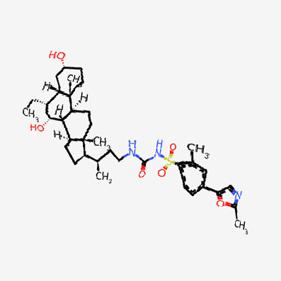 CC[C@H]1[C@@H](O)[C@@H]2[C@H](CC[C@]3(C)[C@@H]([C@H](C)CCNC(=O)NS(=O)(=O)c4ccc(-c5cnc(C)o5)cc4C)CC[C@@H]23)[C@@]2(C)CC[C@@H](O)C[C@@H]12